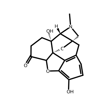 CN1C[C@]23Cc4ccc(O)c5c4[C@@]4(C2)C(O5)C(=O)CC[C@@]4(O)[C@H]13